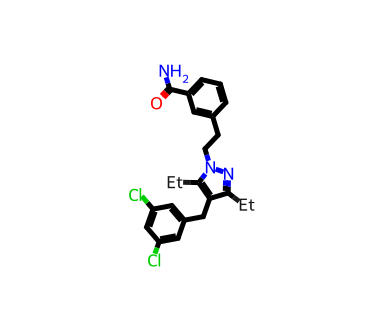 CCc1nn(CCc2cccc(C(N)=O)c2)c(CC)c1Cc1cc(Cl)cc(Cl)c1